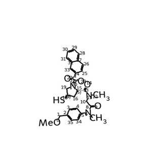 COCc1ccc(N(C)C(=O)CN(C)C(=O)[C@@H]2C[C@@H](S)CN2S(=O)(=O)c2ccc3ccccc3c2)cc1